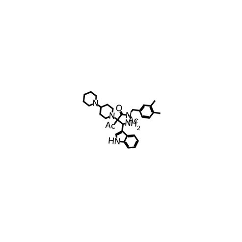 CC(=O)N(Cc1ccc(C)c(C)c1)C(=O)C(C(C)=O)(C(N)c1c[nH]c2ccccc12)N1CCC(N2CCCCC2)CC1